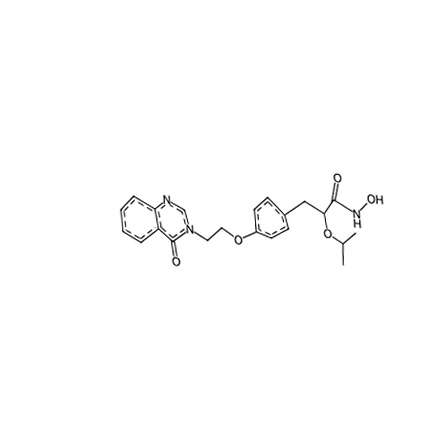 CC(C)OC(Cc1ccc(OCCn2cnc3ccccc3c2=O)cc1)C(=O)NO